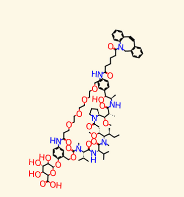 CC[C@H](C)[C@@H]([C@@H](CC(=O)N1CCC[C@H]1[C@H](OC)[C@@H](C)C(=O)N[C@H](C)[C@@H](O)c1ccccc1)OC)N(C)C(=O)[C@@H](NC(=O)[C@H](C(C)C)N(C)C(=O)OCc1cc(NC(=O)CCOCCOCCOCCOCCNC(=O)CCCCC(=O)N2Cc3ccccc3C#Cc3ccccc32)ccc1O[C@@H]1OC(C(=O)O)[C@@H](O)[C@H](O)C1O)C(C)C